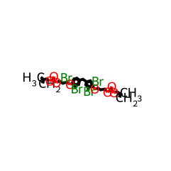 C=C(C)COC(=O)OCCCOc1c(Br)cc(Cc2cc(Br)c(OCCCOC(=O)OCC(=C)C)c(Br)c2)cc1Br